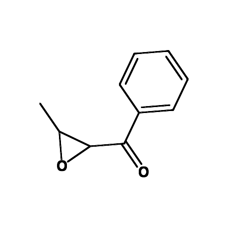 CC1OC1C(=O)c1ccccc1